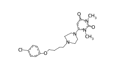 Cn1c(N2CCN(CCCCOc3ccc(Cl)cc3)CC2)cc(=O)n(C)c1=O